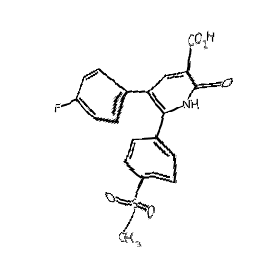 CS(=O)(=O)c1ccc(-c2[nH]c(=O)c(C(=O)O)cc2-c2ccc(F)cc2)cc1